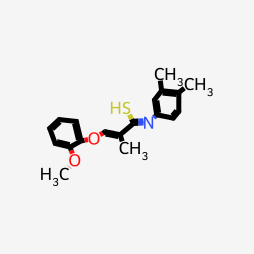 COc1ccccc1O/C=C(C)/C(S)=N/c1ccc(C)c(C)c1